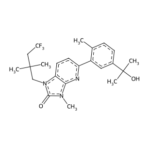 Cc1ccc(C(C)(C)O)cc1-c1ccc2c(n1)n(C)c(=O)n2CC(C)(C)CC(F)(F)F